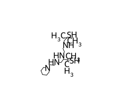 CC(C)(S)CNCCNC(CNCCN1CCCCC1)C(C)(C)S